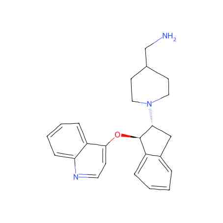 NCC1CCN([C@@H]2Cc3ccccc3[C@H]2Oc2ccnc3ccccc23)CC1